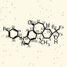 CC[C@@]12CC[C@](O)(C(F)(F)F)C[C@H]1CCC(=O)c1cc3c(cnn3-c3ccc(F)cc3)cc12